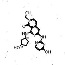 CCn1ccc2cc(Nc3nccc(O)n3)nc(N[C@H]3CC[C@@H](O)C3)c2c1=O